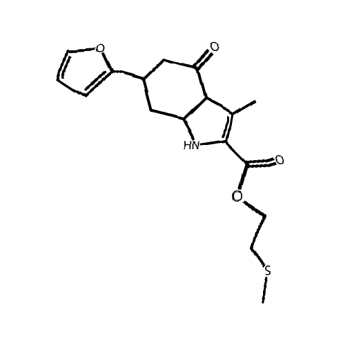 CSCCOC(=O)C1=C(C)C2C(=O)CC(c3ccco3)CC2N1